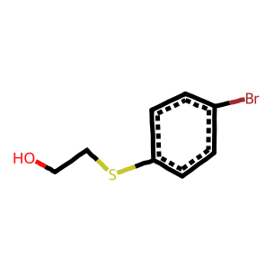 OCCSc1ccc(Br)cc1